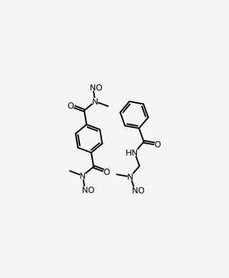 CN(CNC(=O)c1ccccc1)N=O.CN(N=O)C(=O)c1ccc(C(=O)N(C)N=O)cc1